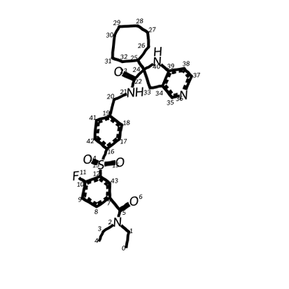 CCN(CC)C(=O)c1ccc(F)c(S(=O)(=O)c2ccc(CNC(=O)C3(C4CCCCCCC4)Cc4cnccc4N3)cc2)c1